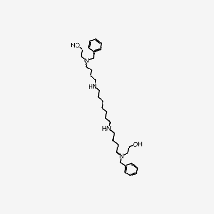 OCCN(CCCCNCCCCCCCNCCCCN(CCO)Cc1ccccc1)Cc1ccccc1